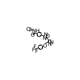 Cn1ncc(-c2nc(-c3ccc(C(=O)NC4COC4)cc3)no2)c1COc1ccc(C(F)(F)F)cc1